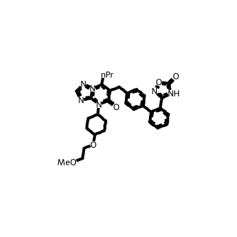 CCCc1c(Cc2ccc(-c3ccccc3-c3noc(=O)[nH]3)cc2)c(=O)n(C2CCC(OCCOC)CC2)c2ncnn12